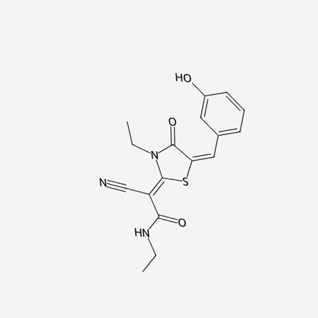 CCNC(=O)/C(C#N)=c1\sc(=Cc2cccc(O)c2)c(=O)n1CC